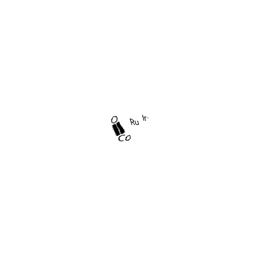 [Ir].[O]=[Co].[Ru]